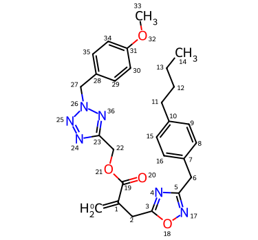 C=C(Cc1nc(Cc2ccc(CCCC)cc2)no1)C(=O)OCc1nnn(Cc2ccc(OC)cc2)n1